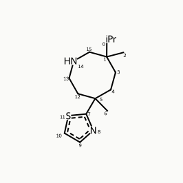 CC(C)C1(C)CCC(C)(c2nccs2)CCNC1